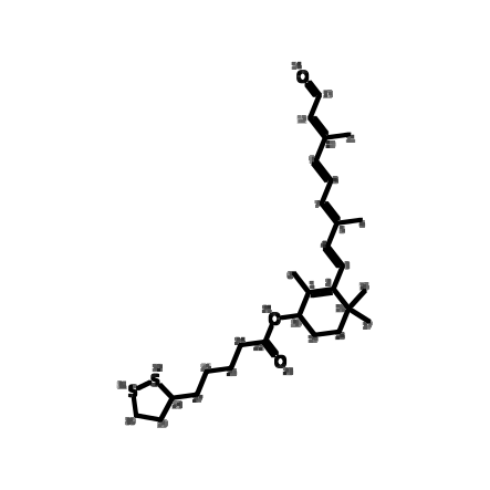 CC1=C(/C=C/C(C)=C/C=C/C(C)=C/C=O)C(C)(C)CCC1OC(=O)CCCCC1CCSS1